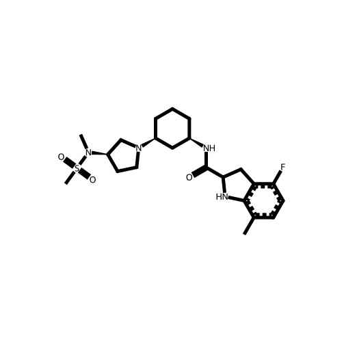 Cc1ccc(F)c2c1NC(C(=O)N[C@@H]1CCC[C@H](N3CC[C@@H](N(C)S(C)(=O)=O)C3)C1)C2